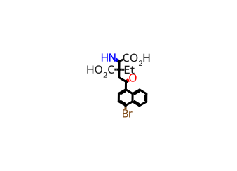 CCC(CC(=O)c1ccc(Br)c2ccccc12)(C(=N)C(=O)O)C(=O)O